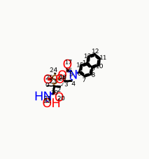 C[C@@](C[C@H]1CN(c2ccc3ccccc3c2)C(=O)O1)(C(=O)NO)S(C)(=O)=O